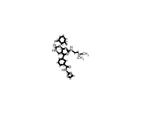 CN(C)CCNc1nc(-c2cccc(C(=O)Nc3nccs3)c2)c2c(n1)N(c1c(F)cccc1F)C(=O)NC2